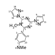 CNc1ccc(C2=NC(n3cccn3)=NC(n3cccn3)N2C)cc1